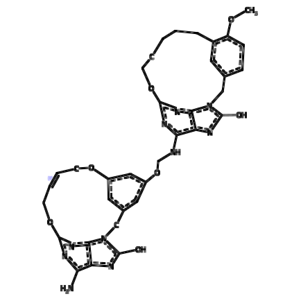 COc1ccc2cc1CCCCCOc1nc(NCOc3cc4cc(c3)OC/C=C\COc3nc(N)c5nc(O)n(c5n3)C4)c3nc(O)n(c3n1)C2